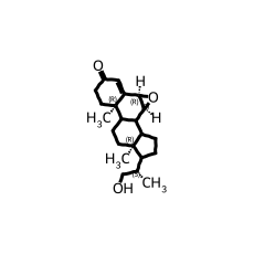 C[C@H](CO)C1CCC2C3C(CC[C@@]21C)[C@@]1(C)CCC(=O)C=C1[C@H]1O[C@@H]31